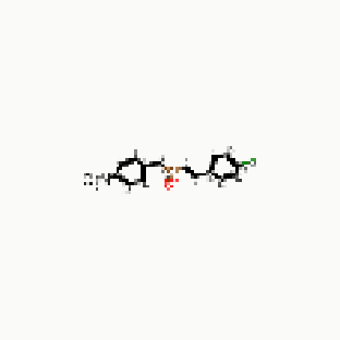 O=[N+]([O-])c1ccc(C[S+]([O-])C=Cc2ccc(F)cc2)cc1